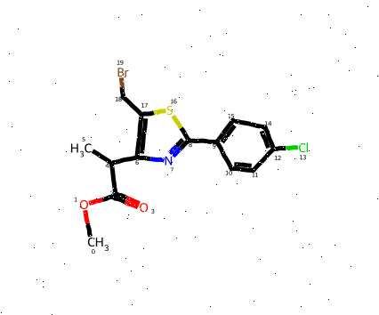 COC(=O)C(C)c1nc(-c2ccc(Cl)cc2)sc1CBr